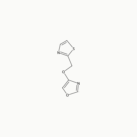 [c]1nc(OCc2nccs2)co1